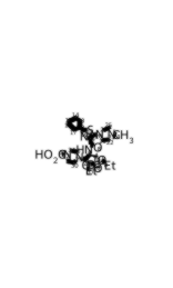 CCOP(=O)(C[C@H](NC(=O)c1nc(-c2ccccc2)sc1N1CCN(C)CC1)C(=O)N1CCN(C(=O)O)CC1)OCC